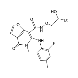 CCC(O)CONC(=O)c1c(Nc2ccc(C)cc2F)n(C)c(=O)c2ccoc12